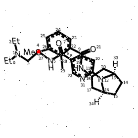 CCN(CC)CCNC(=O)c1ccc(N2[C@@H]3CC[C@H]2C[C@@H](NC(=O)c2cccc(OC)c2C)C3)nc1